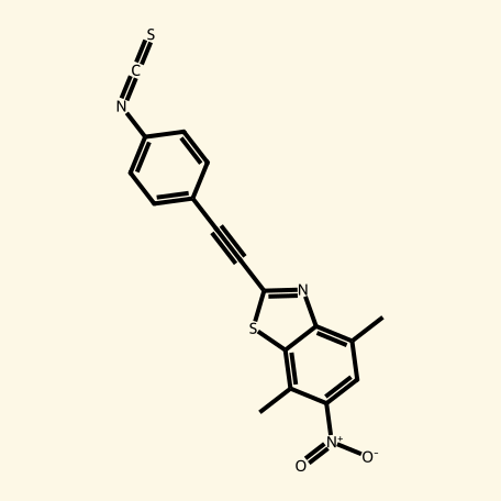 Cc1cc([N+](=O)[O-])c(C)c2sc(C#Cc3ccc(N=C=S)cc3)nc12